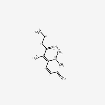 C=C/C=C\C(=C(/C)C(=C)CCC(=O)O)N(C)C